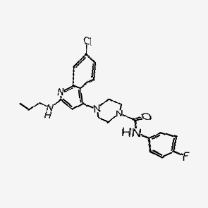 CCCNc1cc(N2CCN(C(=O)Nc3ccc(F)cc3)CC2)c2ccc(Cl)cc2n1